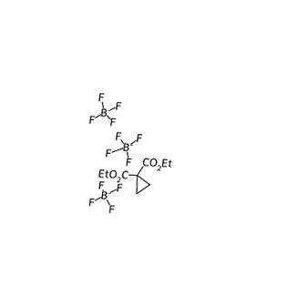 CCOC(=O)C1(C(=O)OCC)CC1.F[B-](F)(F)F.F[B-](F)(F)F.F[B-](F)(F)F